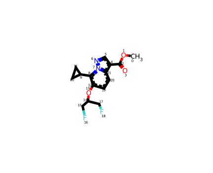 COC(=O)c1cnn2c(C3CC3)c(OC(CF)CF)ccc12